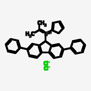 C[C](C)=[Ti+2]([C]1=CC=CC1)[CH]1c2cc(-c3ccccc3)ccc2-c2ccc(-c3ccccc3)cc21.[Cl-].[Cl-]